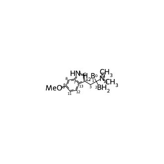 BC(B)(Cc1c[nH]c2cc(OC)ccc12)N(C)C